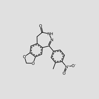 Cc1cc(C2=NNC(=O)Cc3cc4c(cc32)OCO4)ccc1[N+](=O)[O-]